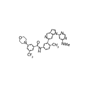 CNc1cc(-n2ccc3cnc(-c4cc(NC(=O)c5cc(N6CCOCC6)cc(C(F)(F)F)c5)ccc4C)cc32)ncn1